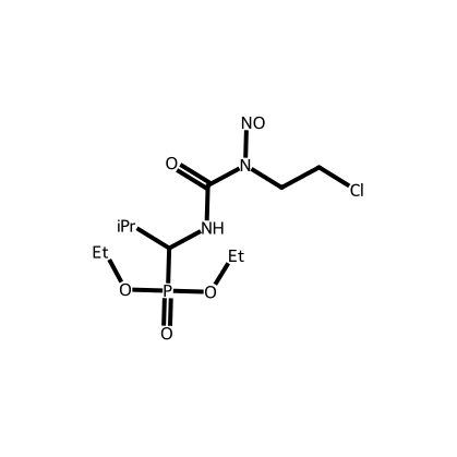 CCOP(=O)(OCC)C(NC(=O)N(CCCl)N=O)C(C)C